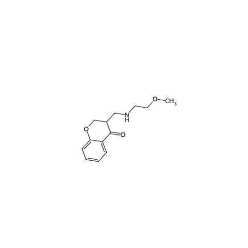 COCCNCC1COc2ccccc2C1=O